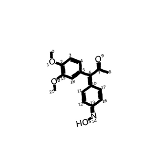 COc1ccc(C(C(C)=O)=C2C=CC(=NO)C=C2)cc1OC